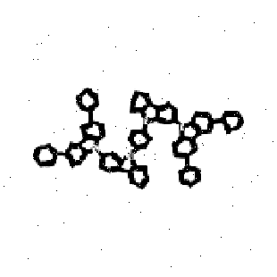 c1ccc(-c2ccc3c(c2)c2cc(-c4ccccc4)ccc2n3-c2ccc3c4ccccc4n(-c4ccc(-n5c6ccccc6c6ccc(-n7c8ccc(-c9ccccc9)cc8c8cc(-c9ccccc9)ccc87)cc65)cc4)c3c2)cc1